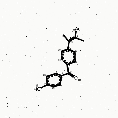 CC(=O)/C(C)=C(\C)c1ccc(C(=O)c2ccc(O)cc2)cc1